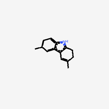 CC1=Cc2c([nH]c3c2=CC(C)CC=3)CC1